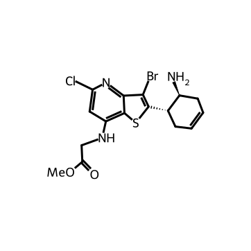 COC(=O)CNc1cc(Cl)nc2c(Br)c([C@H]3CC=CC[C@@H]3N)sc12